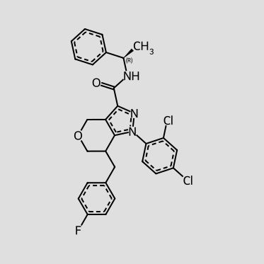 C[C@@H](NC(=O)c1nn(-c2ccc(Cl)cc2Cl)c2c1COCC2Cc1ccc(F)cc1)c1ccccc1